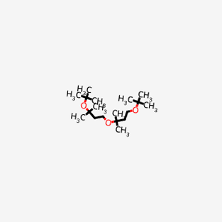 CC(C)(C)OCCC(C)(C)OCCC(C)(C)OC(C)(C)C